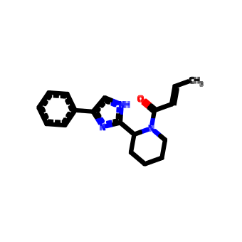 CC=CC(=O)N1CCCCC1c1nc(-c2ccccc2)c[nH]1